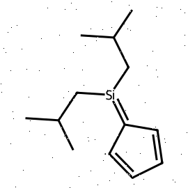 CC(C)C[Si](CC(C)C)=C1[C]=CC=C1